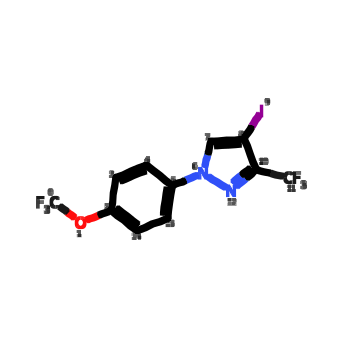 FC(F)(F)Oc1ccc(-n2cc(I)c(C(F)(F)F)n2)cc1